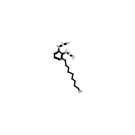 CC(C)CCCCCCCCCc1cccc(N=C=O)c1N=C=O